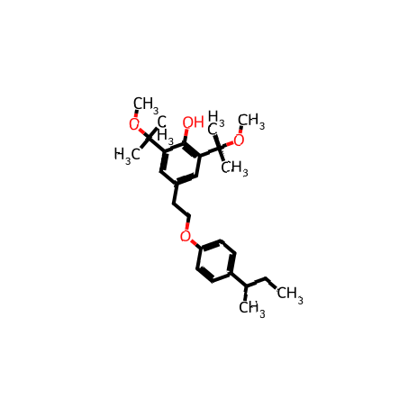 CCC(C)c1ccc(OCCc2cc(C(C)(C)OC)c(O)c(C(C)(C)OC)c2)cc1